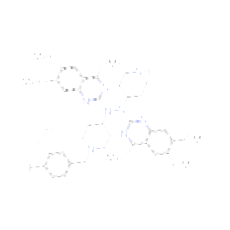 CCOc1cc(CN2CCC(N(c3nc(OC)c4cc(OC)c(OC)cc4n3)N(c3nc(OC)c4cc(OC)c(OC)cc4n3)C3CCNCC3)CC2)ccc1Cl